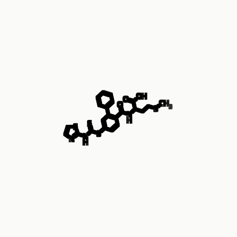 CSCCC(NC(=O)c1ccc(SC(=S)Nc2nccs2)cc1-c1ccccc1)C(=O)O